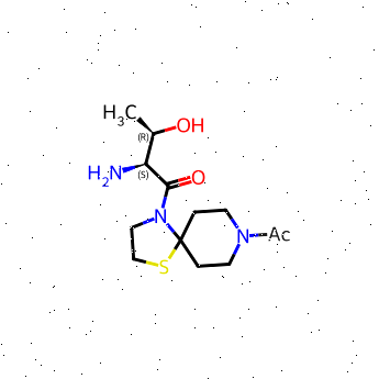 CC(=O)N1CCC2(CC1)SCCN2C(=O)[C@@H](N)[C@@H](C)O